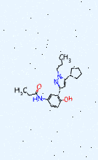 CCCn1nc(-c2cc(NC(=O)CC)ccc2O)cc1C1CCCC1